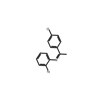 [2H]c1ccccc1/N=C(/C)c1ccc(Cl)cc1